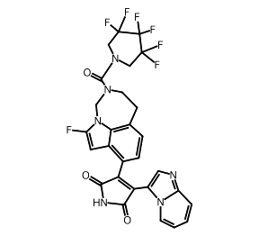 O=C1NC(=O)C(c2cnc3ccccn23)=C1c1ccc2c3c1cc(F)n3CN(C(=O)N1CC(F)(F)C(F)(F)C(F)(F)C1)CC2